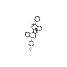 Cc1noc(/C=N\C(c2ccccc2)c2ccccc2)c1-c1ccccc1C(=O)C1=CC=C(Cl)CC1